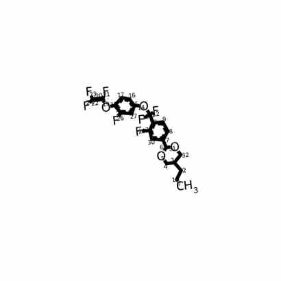 CCCC1COC(c2ccc(C(F)(F)Oc3ccc(OC(F)=C(F)F)c(F)c3)c(F)c2)OC1